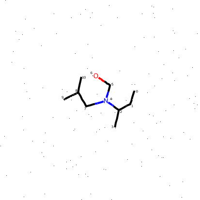 CCC(C)N(C[O])CC(C)C